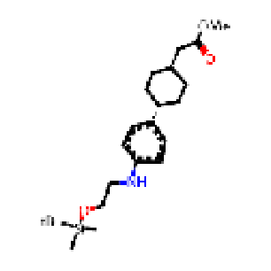 COC(=O)C[C@H]1CC[C@H](c2ccc(NCCO[Si](C)(C)C(C)(C)C)cc2)CC1